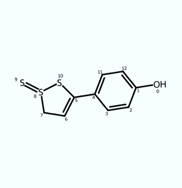 Oc1ccc(C2=CCS(=S)S2)cc1